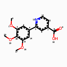 COc1cc(-c2cc(C(=O)O)ccn2)cc(OC)c1OC